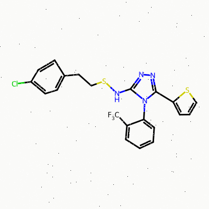 FC(F)(F)c1ccccc1-n1c(NSCCc2ccc(Cl)cc2)nnc1-c1cccs1